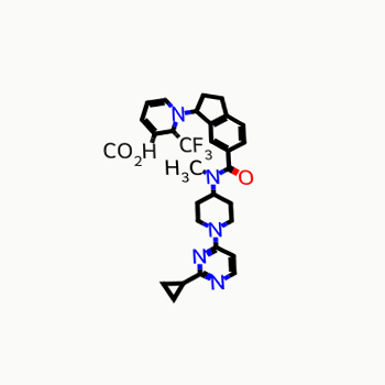 CN(C(=O)c1ccc2c(c1)C(N1C=CC=C(C(=O)O)C1C(F)(F)F)CC2)C1CCN(c2ccnc(C3CC3)n2)CC1